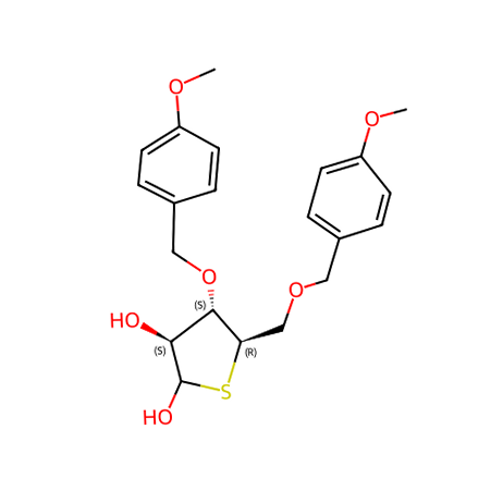 COc1ccc(COC[C@H]2SC(O)[C@@H](O)[C@@H]2OCc2ccc(OC)cc2)cc1